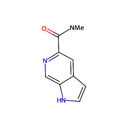 CNC(=O)c1cc2cc[nH]c2cn1